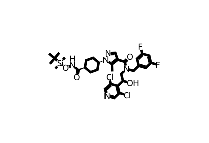 Cc1c(C(=O)N(Cc2cc(F)cc(F)c2)CC(O)c2c(Cl)cncc2Cl)cnn1[C@H]1CC[C@H](C(=O)NO[Si](C)(C)C(C)(C)C)CC1